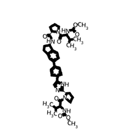 COC(=O)NC(C(=O)N1CCC[C@H]1c1ncc(-c2ccc(-c3ccc4c(c3)CC[C@@H]4NC(=O)[C@@H]3CCCN3C(=O)[C@@H](NC(=O)OC)C(C)C)cc2)[nH]1)C(C)C